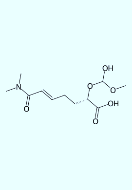 COC(O)O[C@@H](CC/C=C/C(=O)N(C)C)C(=O)O